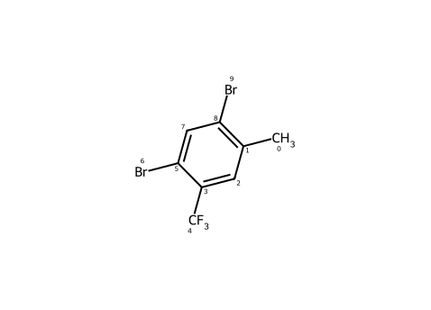 Cc1cc(C(F)(F)F)c(Br)cc1Br